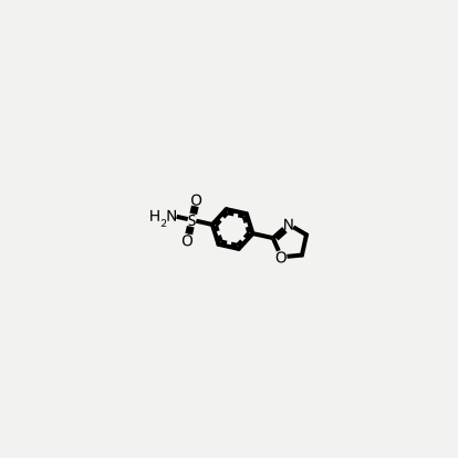 NS(=O)(=O)c1ccc(C2=NCCO2)cc1